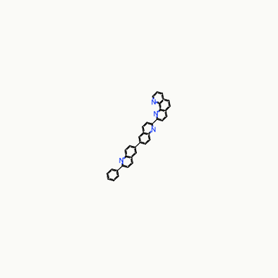 c1ccc(-c2ccc3cc(-c4ccc5nc(-c6ccc7ccc8cccnc8c7n6)ccc5c4)ccc3n2)cc1